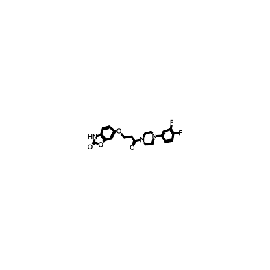 O=C(CCOc1ccc2[nH]c(=O)oc2c1)N1CCN(c2ccc(F)c(F)c2)CC1